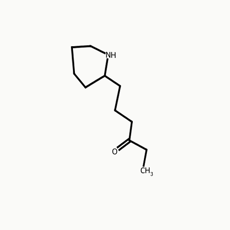 CCC(=O)CCCC1CCCCN1